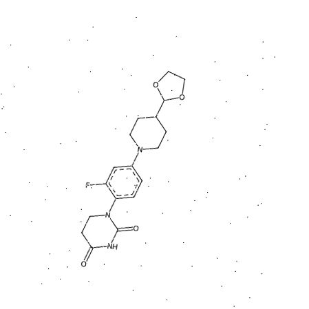 O=C1CCN(c2ccc(N3CCC(C4OCCO4)CC3)cc2F)C(=O)N1